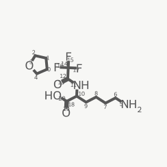 C1CCOC1.NCCCCC(NC(=O)C(F)(F)F)C(=O)O